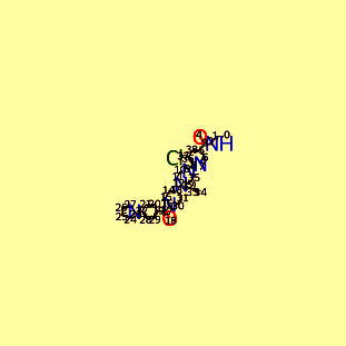 CCNC(=O)c1cnc(N2CCN(C3CCN(C(=O)c4ccc(-n5cccc5)cc4)CC3)[C@@H](CC)C2)c(Cl)c1